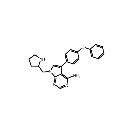 Nc1ncnc2c1c(-c1ccc(Oc3ccccc3)cc1)cn2CC1CCCN1